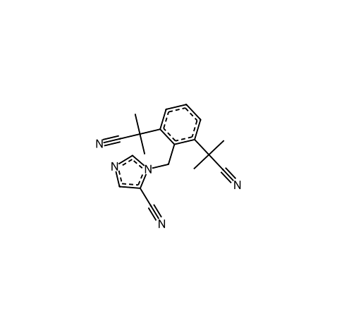 CC(C)(C#N)c1cccc(C(C)(C)C#N)c1Cn1cncc1C#N